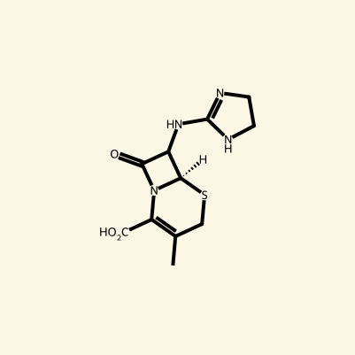 CC1=C(C(=O)O)N2C(=O)C(NC3=NCCN3)[C@H]2SC1